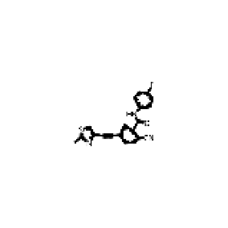 Cc1nc(C#Cc2ccc(C#N)c(C(=O)Nc3ccc(F)cc3)c2)cs1